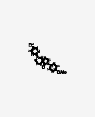 CCc1cnc(N2CCCC3(CCN([C@H]4CC[C@H](OC)CC4)C3=O)C2)nc1